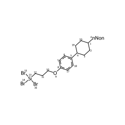 CCCCCCCCCC1CCC(c2ccc(OCCC[Si](Br)(Br)Br)cc2)CC1